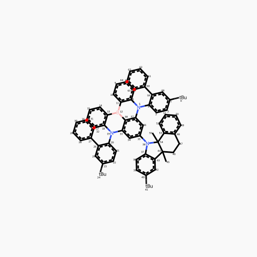 CC(C)(C)c1ccc(N2c3ccccc3B3c4ccccc4N(c4ccc(C(C)(C)C)cc4-c4ccccc4)c4cc(N5c6ccc(C(C)(C)C)cc6C6(C)CCc7ccccc7C56C)cc2c43)c(-c2ccccc2)c1